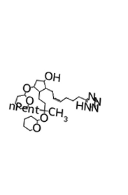 CCCCCC(C)(CCC1C(OC2CCCCO2)CC(O)C1C/C=C\CCCc1nnn[nH]1)OC1CCCCO1